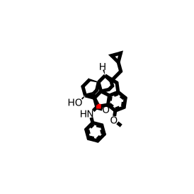 COc1ccc2c3c1CC1C34CCC(CC3CC3)[C@H](C2)[C@]42CC[C@@]1(O)C(C(=O)Nc1ccccc1)C2